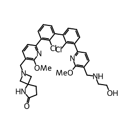 COc1nc(-c2cccc(-c3cccc(-c4ccc(CN5CC6(CCC(=O)N6)C5)c(OC)n4)c3Cl)c2Cl)ccc1CNCCO